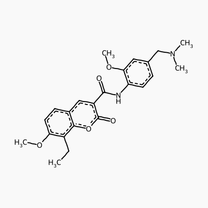 CCc1c(OC)ccc2cc(C(=O)Nc3ccc(CN(C)C)cc3OC)c(=O)oc12